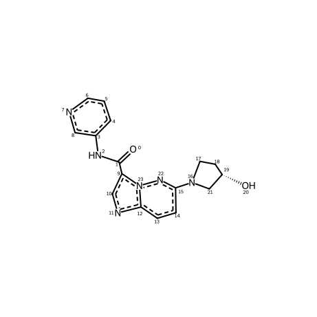 O=C(Nc1cccnc1)c1cnc2ccc(N3CC[C@H](O)C3)nn12